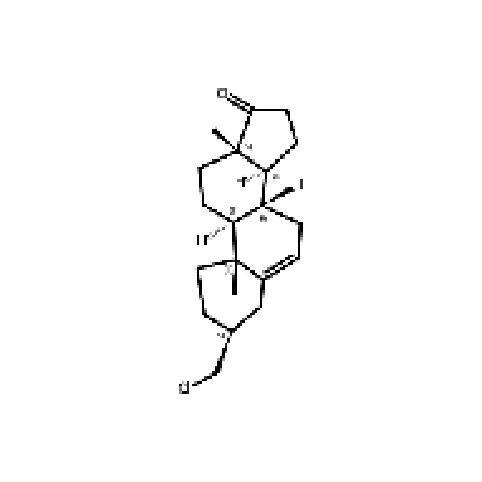 C[C@]12CC[C@H](CCl)CC1=CC[C@@H]1[C@@H]2CC[C@]2(C)C(=O)CC[C@@H]12